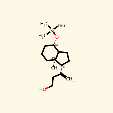 C=C(CCO)[C@H]1CCC2[C@@H](O[Si](C)(C)C(C)(C)C)CCC[C@@]21C